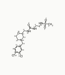 CS(=O)(=O)NCCNC(=O)NCC1CN(Cc2ccc(Cl)c(Cl)c2)CCO1